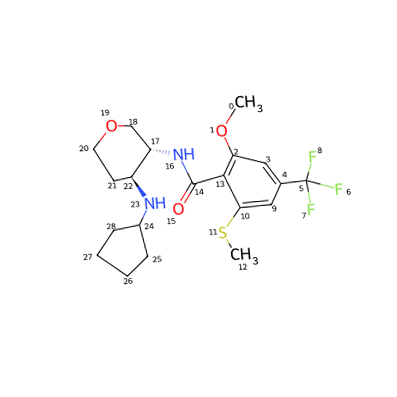 COc1cc(C(F)(F)F)cc(SC)c1C(=O)N[C@H]1COCC[C@@H]1NC1CCCC1